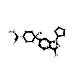 CCc1nn(C2CCCC2)c2cc([C@]3(C#N)CC[C@H](C(=O)OC)CC3)ccc12